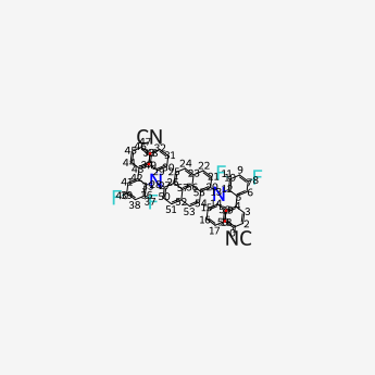 [C-]#[N+]c1ccc(-c2cc(F)cc(F)c2N(c2ccccc2)c2ccc3ccc4c(N(c5ccccc5)c5c(F)cc(F)cc5-c5ccc(C#N)cc5)ccc5ccc2c3c54)cc1